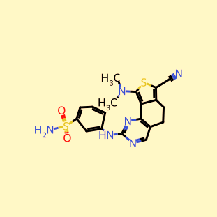 CN(C)c1sc(C#N)c2c1-c1nc(Nc3cccc(S(N)(=O)=O)c3)ncc1CC2